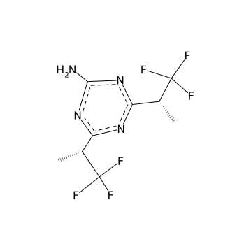 C[C@H](c1nc(N)nc([C@@H](C)C(F)(F)F)n1)C(F)(F)F